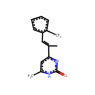 CC(=Cc1ccccc1C(F)(F)F)c1cc(C(F)(F)F)[nH]c(=O)n1